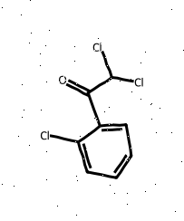 O=C(c1ccccc1Cl)C(Cl)Cl